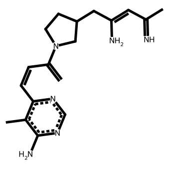 C=C(/C=C\c1ncnc(N)c1C)N1CCC(C/C(N)=C/C(C)=N)C1